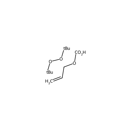 C=CCOC(=O)O.CC(C)(C)OOC(C)(C)C